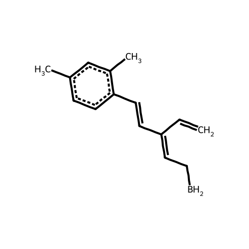 BC/C=C(C=C)/C=C/c1ccc(C)cc1C